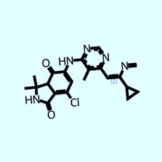 C=N/C(=C\c1ncnc(NC2=CC(Cl)=C3C(=O)NC(C)(C)C3C2=O)c1C)C1CC1